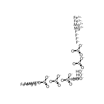 O=[Si]([O-])[O-].O=[Si]([O-])[O-].O=[Si]([O-])[O-].O=[Si]([O-])[O-].O=[Si]([O-])[O-].[F-].[F-].[F-].[F-].[F-].[Fe+3].[Fe+3].[Fe+3].[Fe+3].[Mg+2].[Mg+2].[Mg+2].[Mg+2].[OH-].[OH-].[OH-].[OH-].[OH-]